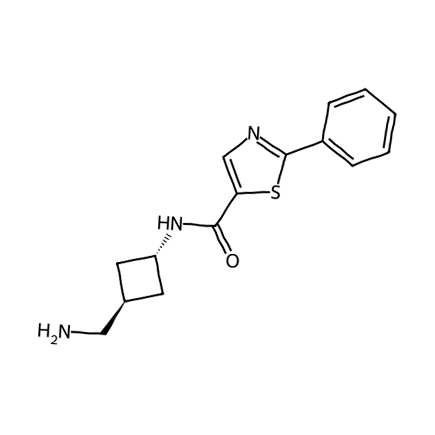 NC[C@H]1C[C@H](NC(=O)c2cnc(-c3ccccc3)s2)C1